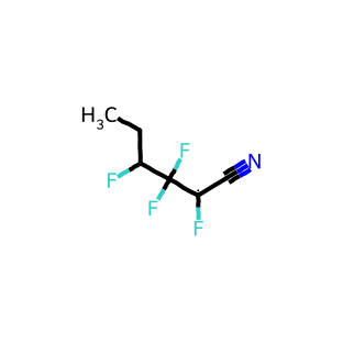 CCC(F)C(F)(F)[C](F)C#N